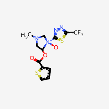 CN1CC(OC(=O)c2cccs2)[N+]([O-])(c2nnc(C(F)(F)F)s2)C1